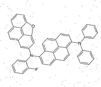 Fc1ccccc1N(c1cc2ccc3cccc4oc(c1)c2c34)c1ccc2ccc3c(N(c4ccccc4)c4ccccc4)ccc4ccc1c2c43